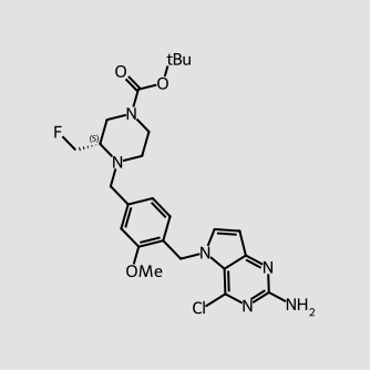 COc1cc(CN2CCN(C(=O)OC(C)(C)C)C[C@H]2CF)ccc1Cn1ccc2nc(N)nc(Cl)c21